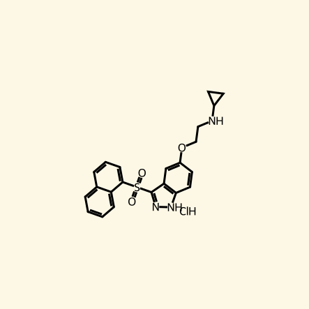 Cl.O=S(=O)(c1cccc2ccccc12)c1n[nH]c2ccc(OCCNC3CC3)cc12